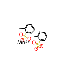 Cc1ccccc1S(=O)(=O)[O-].Cc1ccccc1S(=O)(=O)[O-].[Mn+2]